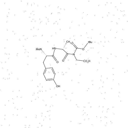 CN[C@@H](Cc1ccc(O)cc1)C(=O)N[C@H](C)C(=O)N(CC(=O)O)C(=O)OC(C)(C)C